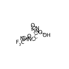 Cc1ccc(NC(=O)c2ccnc(C(F)(F)F)c2)cc1-c1cc(OCCO)nc(C23CCOCC2(C#N)C3)c1